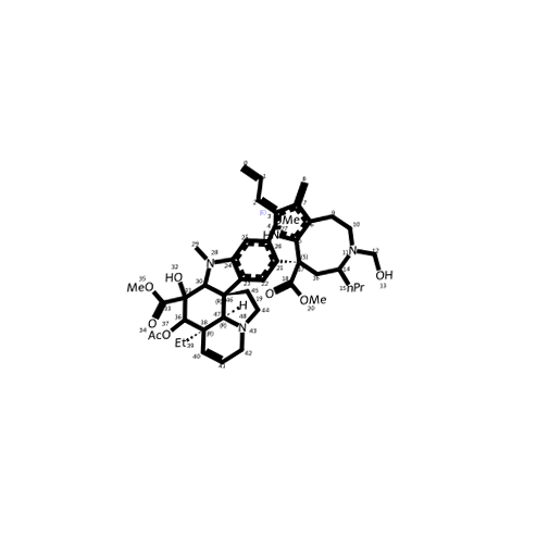 C=C/C=c1/[nH]c2c(c1=C)CCN(CO)C(CCC)C[C@]2(C(=O)OC)c1cc2c(cc1OC)N(C)C1C(O)(C(=O)OC)C(OC(C)=O)[C@]3(CC)C=CCN4CC[C@]21[C@@H]43